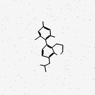 NC(Cc1ccc(-c2c(Cl)cc(F)cc2Cl)c2c1OCCC2)C(=O)O